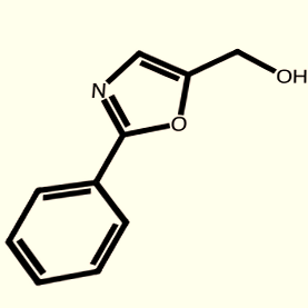 OCc1cnc(-c2ccccc2)o1